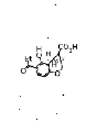 CCC(=O)c1ccc2c(c1O)[C@H]1C(C(=O)O)[C@H]1CO2